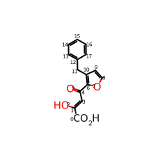 O=C(O)C(O)=CC(=O)c1occc1Cc1ccccc1